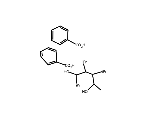 CC(C)C(O)C(C(C)C)C(C(C)C)C(C)O.O=C(O)c1ccccc1.O=C(O)c1ccccc1